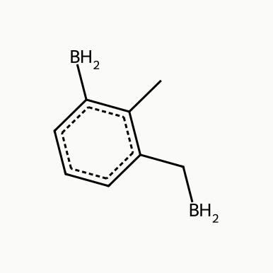 BCc1cccc(B)c1C